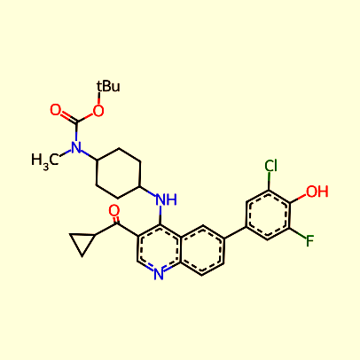 CN(C(=O)OC(C)(C)C)C1CCC(Nc2c(C(=O)C3CC3)cnc3ccc(-c4cc(F)c(O)c(Cl)c4)cc23)CC1